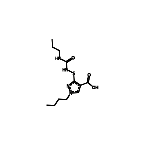 CCCCn1cc(C(=O)O)c(SNC(=O)NCCC)n1